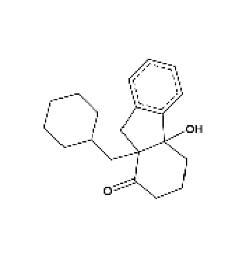 O=C1CCCC2(O)c3ccccc3CC12CC1CCCCC1